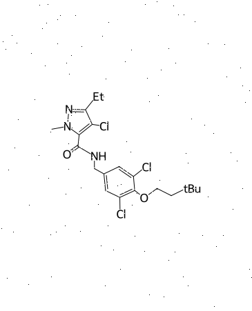 CCc1nn(C)c(C(=O)NCc2cc(Cl)c(OCCC(C)(C)C)c(Cl)c2)c1Cl